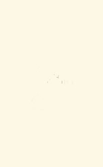 C#CC(Cc1ccccc1)O[Si](C)(C)C(C)(C)C